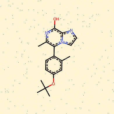 Cc1cc(OC(C)(C)C)ccc1-c1c(C)nc(O)c2nccn12